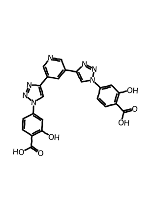 O=C(O)c1ccc(-n2cc(-c3cncc(-c4cn(-c5ccc(C(=O)O)c(O)c5)nn4)c3)nn2)cc1O